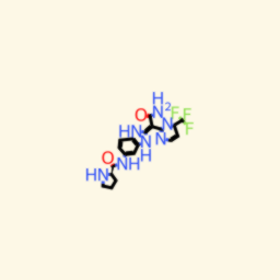 NC(=O)/C(=C1\Nc2ccc(NC(=O)[C@H]3CCCN3)cc2N1)c1nccc(C(F)(F)F)n1